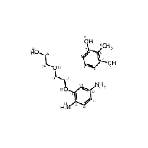 Cc1c(O)cccc1O.Nc1ccc(N)c(OCCOCCO)c1